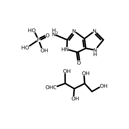 Nc1nc2nc[nH]c2c(=O)[nH]1.O=CC(O)C(O)C(O)CO.O=P(O)(O)O